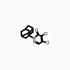 O=c1c(Cl)c(Cl)cnn1C12CC3CC(CC(C3)C1)C2